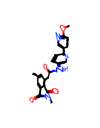 COc1ccc(-c2ccc(NC(=O)Cc3cc(C)cc4c3C(=O)N(C)C4=O)cn2)cn1